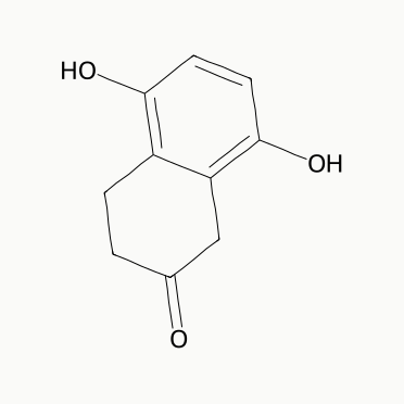 O=C1CCc2c(O)ccc(O)c2C1